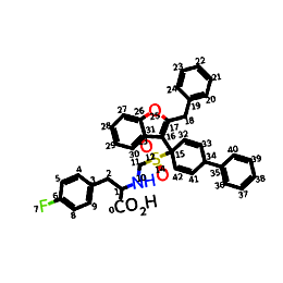 O=C(O)C(Cc1ccc(F)cc1)NCS(=O)(=O)C1(c2c(Cc3ccccc3)oc3ccccc23)C=CC(c2ccccc2)C=C1